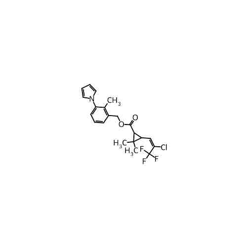 Cc1c(COC(=O)C2C(/C=C(/Cl)C(F)(F)F)C2(C)C)cccc1-n1cccc1